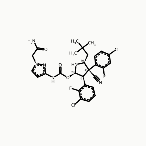 CC(C)(C)C[C@@H]1N[C@H](OC(=O)Nc2ccn(CC(N)=O)n2)[C@H](c2cccc(Cl)c2F)[C@@]1(C#N)c1ccc(Cl)cc1F